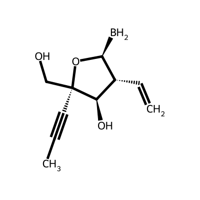 B[C@@H]1O[C@](C#CC)(CO)[C@H](O)[C@H]1C=C